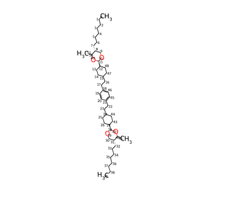 CCCCCCCC[C@@H]1CO[C@@H](C2CCC(CCc3ccc(CCC4CCC([C@@H]5OC[C@@H](CCCCCCCC)C(C)O5)CC4)cc3)CC2)OC1C